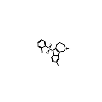 Cc1ccc2c(c1)c1c(n2S(=O)(=O)c2ccccc2F)CCCN(C)C1